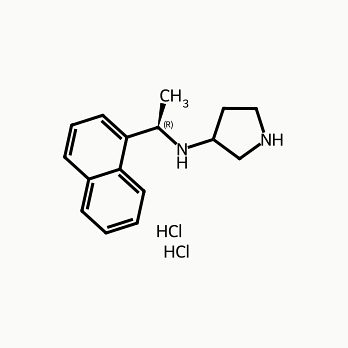 C[C@@H](NC1CCNC1)c1cccc2ccccc12.Cl.Cl